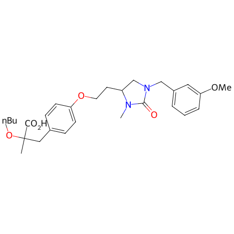 CCCCOC(C)(Cc1ccc(OCCC2CN(Cc3cccc(OC)c3)C(=O)N2C)cc1)C(=O)O